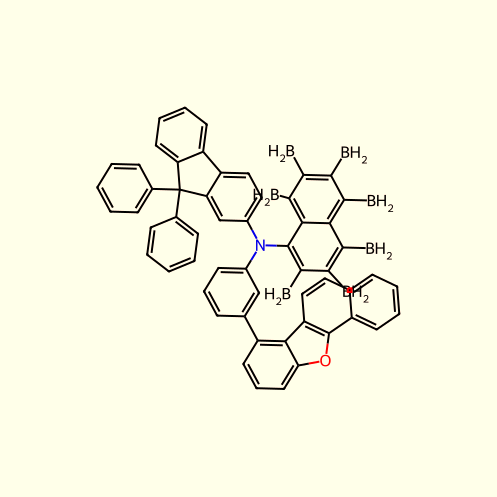 Bc1c(B)c(B)c2c(N(c3cccc(-c4cccc5oc6c7ccccc7ccc6c45)c3)c3ccc4c(c3)C(c3ccccc3)(c3ccccc3)c3ccccc3-4)c(B)c(B)c(B)c2c1B